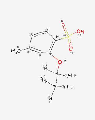 [2H]C([2H])([2H])C([2H])([2H])Oc1cc(C)ccc1S(=O)(=O)O